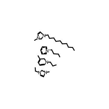 CCCCCCCCCCN1C=CN(C)C1.CCCC[n+]1ccccc1.CCCN1C=CC=C(C)C1.CCN1C=CN(C)C1